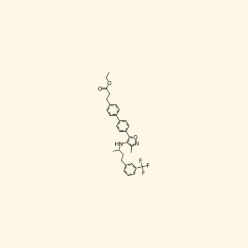 CCOC(=O)CCc1ccc(-c2ccc(-c3onc(C)c3NC(C)CCc3cccc(C(F)(F)F)c3)cc2)cc1